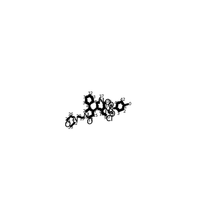 Cc1ccc(S(=O)(=O)n2c(Cl)cc3c(-c4cc(=O)n(CCN5CCOCC5)cc4-c4ccccc4)cn(C)c(=O)c32)cc1